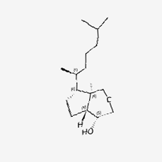 CC(C)CCC[C@H](C)[C@H]1CC[C@H]2[C@@H](O)CCC[C@]12C